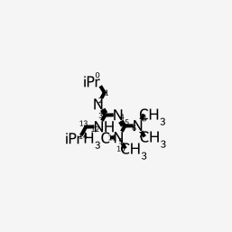 CC(C)C/N=C(\N=C(N(C)C)N(C)C)NCC(C)C